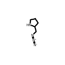 [N-]=[N+]=NCC1CCCN1